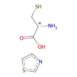 N[C@@H](CS)C(=O)O.c1cscn1